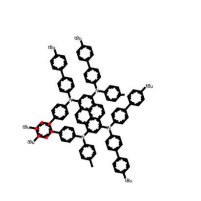 Cc1ccc(N(c2ccc(-c3ccc(C(C)(C)C)cc3)cc2)c2cc(N(c3ccc(-c4ccc(C(C)(C)C)cc4)cc3)c3ccc(-c4ccc(C(C)(C)C)cc4)cc3)c3ccc4c(N(c5ccc(C)cc5)c5ccc(-c6ccc(C(C)(C)C)cc6)cc5)cc(N(c5ccc(-c6ccc(C(C)(C)C)cc6)cc5)c5ccc(-c6ccc(C(C)(C)C)cc6)cc5)c5ccc2c3c45)cc1